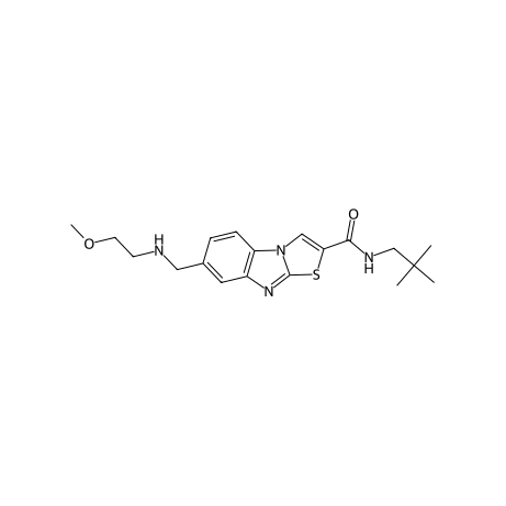 COCCNCc1ccc2c(c1)nc1sc(C(=O)NCC(C)(C)C)cn12